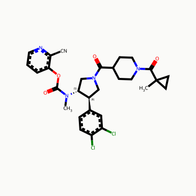 CN(C(=O)Oc1cccnc1C#N)[C@@H]1CN(C(=O)C2CCN(C(=O)C3(C)CC3)CC2)C[C@H]1c1ccc(Cl)c(Cl)c1